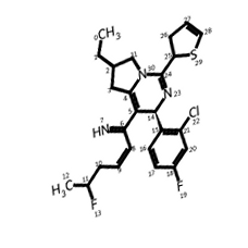 CCC1CC2=C(C(=N)/C=C\CC(C)F)[C@H](c3ccc(F)cc3Cl)N=C(C3CC=CS3)N2C1